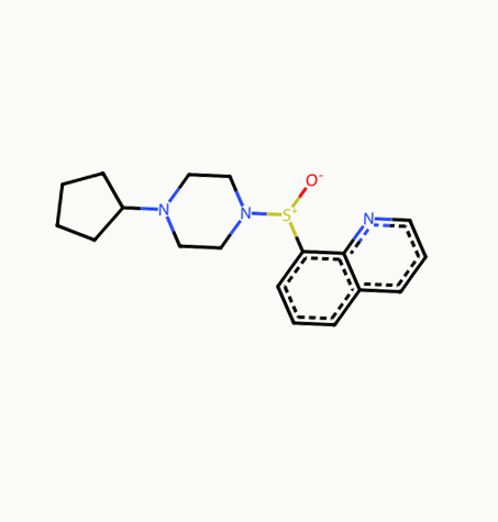 [O-][S+](c1cccc2cccnc12)N1CCN(C2CCCC2)CC1